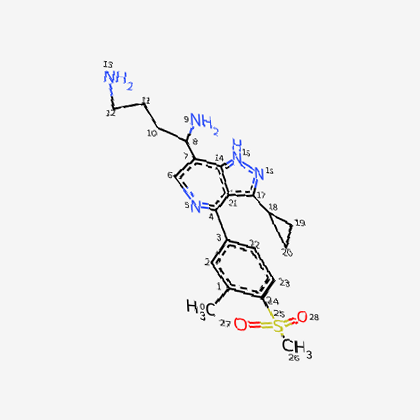 Cc1cc(-c2ncc(C(N)CCCN)c3[nH]nc(C4CC4)c23)ccc1S(C)(=O)=O